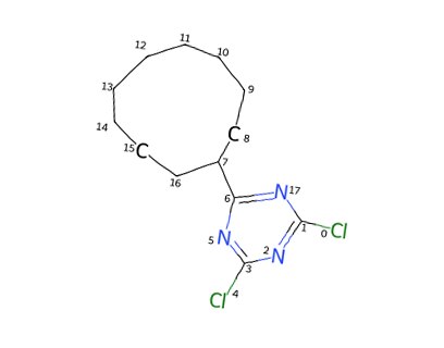 Clc1nc(Cl)nc(C2CCCCCCCCC2)n1